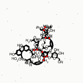 CN[C@H](CC(C)C)C(=O)N[C@H]1C(=O)N[C@@H](CC(N)=O)C(=O)N[C@H]2C(=O)N[C@H]3C(=O)N[C@H](C(=O)N[C@H](C(=O)O)c4cc(O)cc(O)c4-c4cc3ccc4O)[C@H](O)c3ccc(c(Cl)c3)Oc3cc2cc(c3O[C@@H]2O[C@H](CO)[C@@H](O)[C@H](O)[C@H]2O[C@H]2C[C@](C)(NC(=O)OCOC(=O)CCC(P(=O)(O)O)P(=O)(O)O)[C@H](O)[C@H](C)O2)Oc2ccc(cc2Cl)[C@H]1O